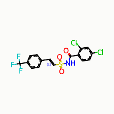 O=C(NS(=O)(=O)/C=C/c1ccc(C(F)(F)F)cc1)c1ccc(Cl)cc1Cl